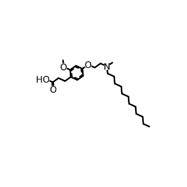 CCCCCCCCCCCCN(C)CCOc1ccc(CCC(=O)O)c(OC)c1